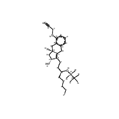 CCCCC[C@@H](CCC1=C2Cc3cccc(OCC#N)c3C[C@H]2C[C@H]1O)O[Si](C)(C)C(C)(C)C